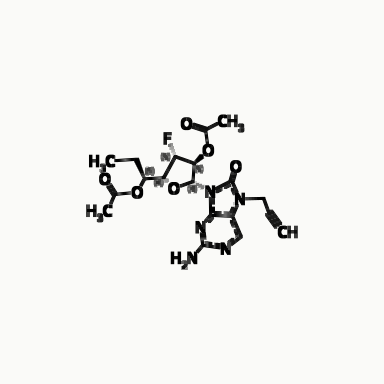 C#CCn1c(=O)n([C@@H]2O[C@H]([C@H](CC)OC(C)=O)[C@H](F)[C@H]2OC(C)=O)c2nc(N)ncc21